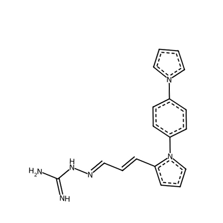 N=C(N)N/N=C/C=C/c1cccn1-c1ccc(-n2cccc2)cc1